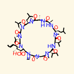 C/C=C/C[C@@H](C)[C@@H](O)[C@H]1C(=O)N[C@@H](CC)C(=O)N(C)CC(=O)N(C)[C@@H](C(C)CC)C(=O)N[C@H](C(C)C)C(=O)N(C)[C@H](CCC(C)C)C(=O)N[C@H](C)C(=O)N[C@@H](C)C(=O)N(C)[C@H](CC(C)C)C(=O)N(C)[C@@H](CC(C)C)C(=O)N(C)[C@@H](C(C)C)C(=O)N1C